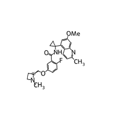 COc1cc(C2(NC(=O)c3cc(OC[C@@H]4CCN4C)ccc3F)CC2)c2ccc(C)nc2c1